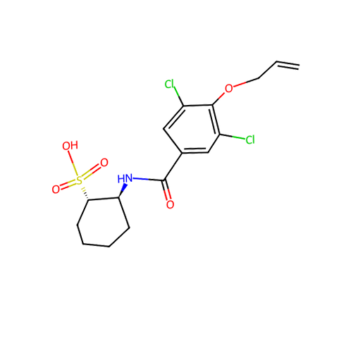 C=CCOc1c(Cl)cc(C(=O)N[C@H]2CCCC[C@@H]2S(=O)(=O)O)cc1Cl